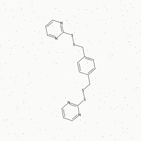 c1cnc(SSCc2ccc(CSSc3ncccn3)cc2)nc1